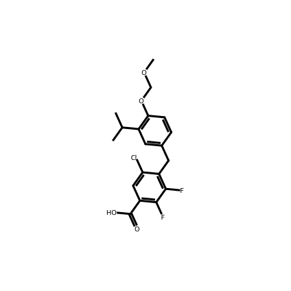 COCOc1ccc(Cc2c(Cl)cc(C(=O)O)c(F)c2F)cc1C(C)C